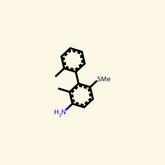 CSc1ccc(N)c(C)c1-c1ccccc1C